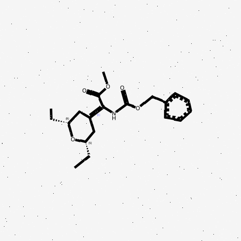 CC[C@@H]1C/C(=C(/NC(=O)OCc2ccccc2)C(=O)OC)C[C@H](CC)O1